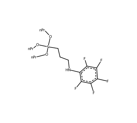 CCCO[Si](CCCNc1c(F)c(F)c(F)c(F)c1F)(OCCC)OCCC